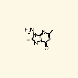 Cc1cc(=O)n2nc(C)n(N)c2n1